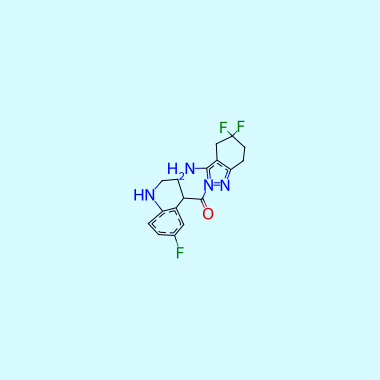 Nc1c2c(nn1C(=O)C1CCNc3ccc(F)cc31)CCC(F)(F)C2